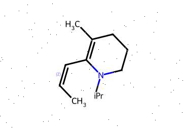 C/C=C\C1=C(C)CCCN1C(C)C